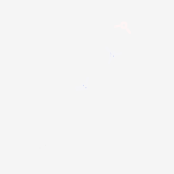 Clc1ccc(C=NCCN2CCOCC2)cc1